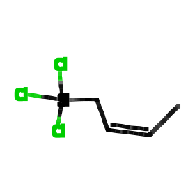 C/C=C\C[Si](Cl)(Cl)Cl